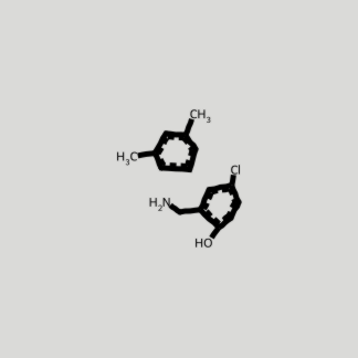 Cc1cccc(C)c1.NCc1cc(Cl)ccc1O